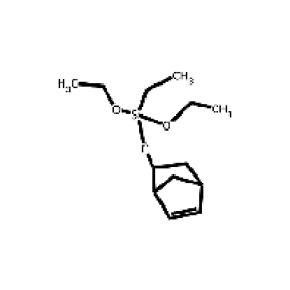 CCO[Si](CC)(CC1CC2C=CC1C2)OCC